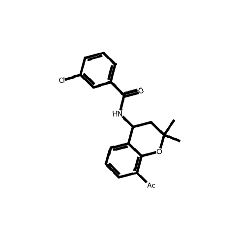 CC(=O)c1cccc2c1OC(C)(C)CC2NC(=O)c1cccc(Cl)c1